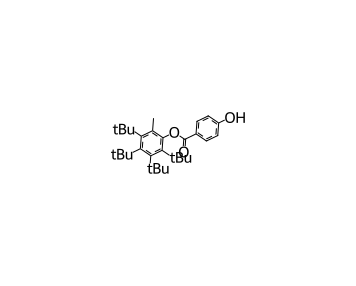 Cc1c(OC(=O)c2ccc(O)cc2)c(C(C)(C)C)c(C(C)(C)C)c(C(C)(C)C)c1C(C)(C)C